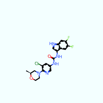 C[C@H]1CN(c2ncc(NC(=O)Nc3c[nH]c4cc(F)c(F)cc34)cc2Cl)CCO1